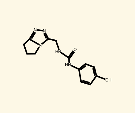 O=C(NCc1nnc2n1CCC2)Nc1ccc(O)cc1